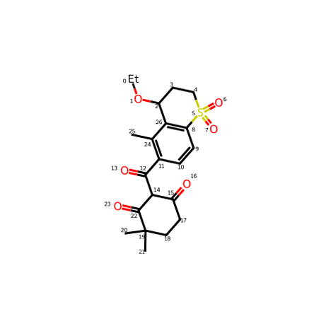 CCOC1CCS(=O)(=O)c2ccc(C(=O)C3C(=O)CCC(C)(C)C3=O)c(C)c21